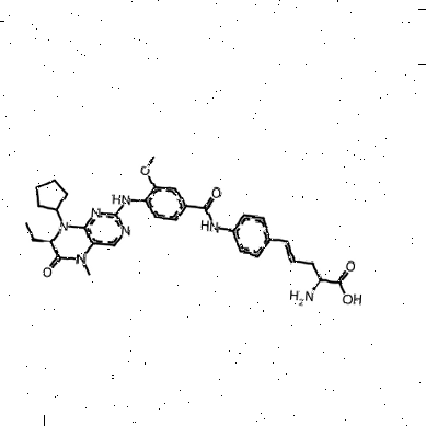 CC[C@@H]1C(=O)N(C)c2cnc(Nc3ccc(C(=O)Nc4ccc(C=CC[C@H](N)C(=O)O)cc4)cc3OC)nc2N1C1CCCC1